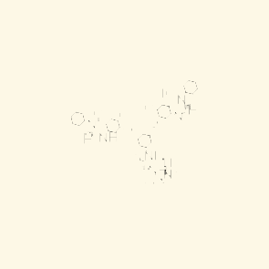 COc1cc2c(cc1OCc1cc(COc3cc4c(cc3OC)C(=O)N3c5ccccc5C[C@H]3CN4)cc(NC(=O)[C@@H](C)NC(=O)[C@H](C)N)c1)N=C[C@@H]1Cc3ccccc3N1C2O